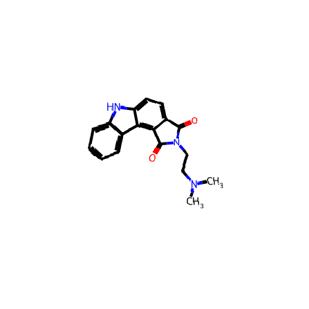 CN(C)CCN1C(=O)c2ccc3[nH]c4ccccc4c3c2C1=O